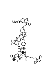 COc1ccc2ncc(=O)n(CCN3CC[C@@H](N(Cc4ccc5c(n4)NC(=O)CO5)C(=O)OCc4ccc(NC(=O)[C@H](CCCNC(N)=O)NC(=O)C(NC(=O)CCCCCN5C(=O)C=CC5=O)C(C)C)cc4)[C@H](F)C3)c2c1